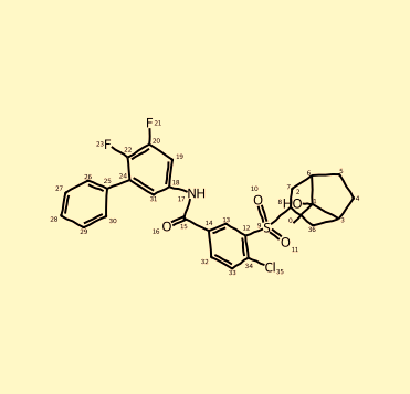 CC1(O)C2CCC1CC(S(=O)(=O)c1cc(C(=O)Nc3cc(F)c(F)c(-c4ccccc4)c3)ccc1Cl)C2